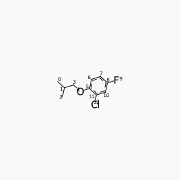 CC(C)COc1ccc(F)cc1Cl